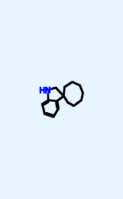 c1ccc2c(c1)NCC21CCCCCCC1